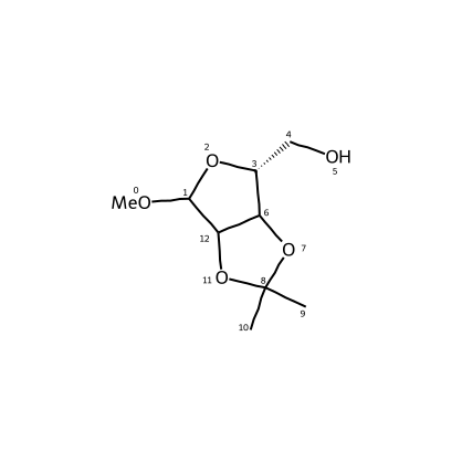 COC1O[C@H](CO)C2OC(C)(C)OC12